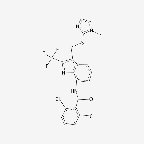 Cn1ccnc1SCc1c(C(F)(F)F)nc2c(NC(=O)c3c(Cl)cccc3Cl)cccn12